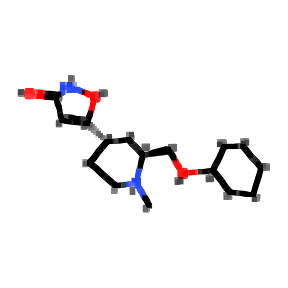 CN1CC[C@H](c2cc(=O)[nH]o2)C[C@H]1COC1CCCCC1